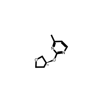 Cc1ccnc(O[C@H]2CCOC2)n1